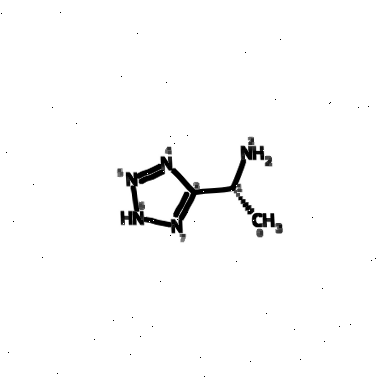 C[C@@H](N)c1nn[nH]n1